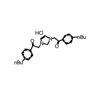 CCCCc1ccc(C(=O)CN2C=CN(CC(=O)c3ccc(CCCC)cc3)C2)cc1.Cl